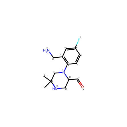 CC1(C)CN(c2ccc(F)cc2CN)C(C=O)CN1